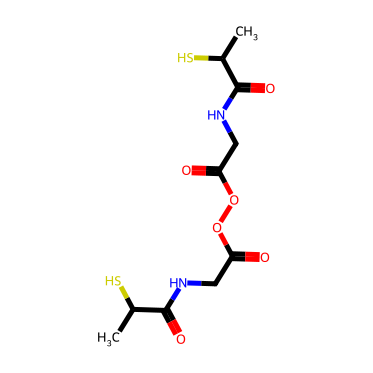 CC(S)C(=O)NCC(=O)OOC(=O)CNC(=O)C(C)S